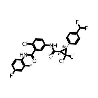 O=C(Nc1ccc(F)cc1F)c1cc(NC(=O)[C@H]2[C@H](c3ccc(C(F)F)cc3)C2(Cl)Cl)ccc1Cl